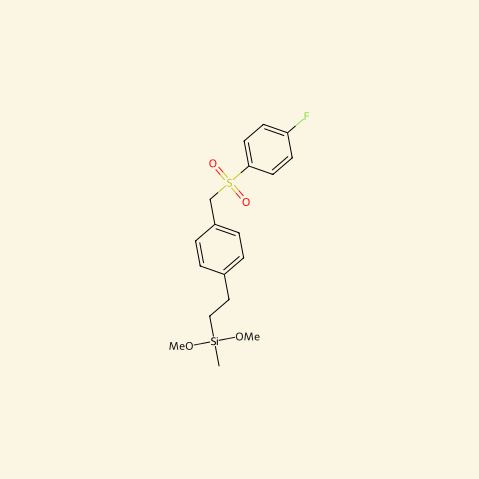 CO[Si](C)(CCc1ccc(CS(=O)(=O)c2ccc(F)cc2)cc1)OC